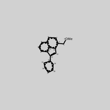 COCc1ccc2cccc3c2c1C=C3c1ccccc1